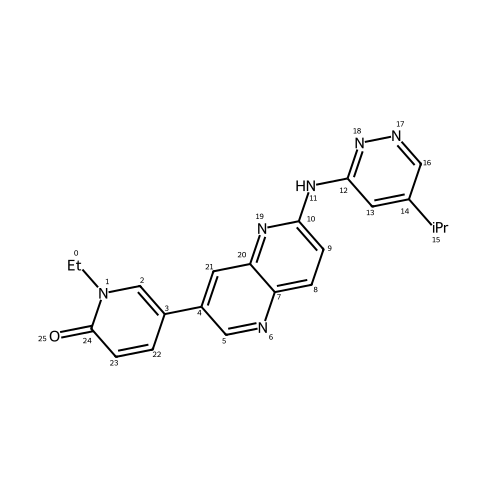 CCn1cc(-c2cnc3ccc(Nc4cc(C(C)C)cnn4)nc3c2)ccc1=O